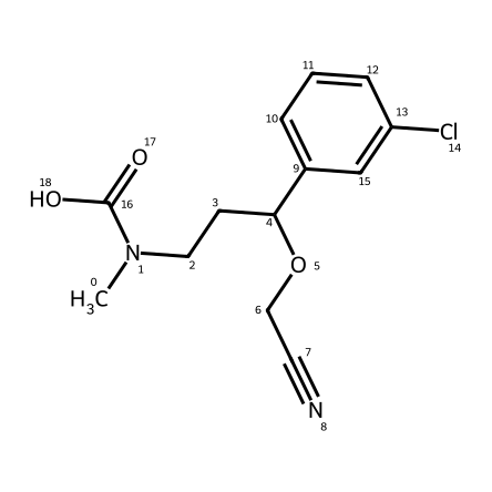 CN(CCC(OCC#N)c1cccc(Cl)c1)C(=O)O